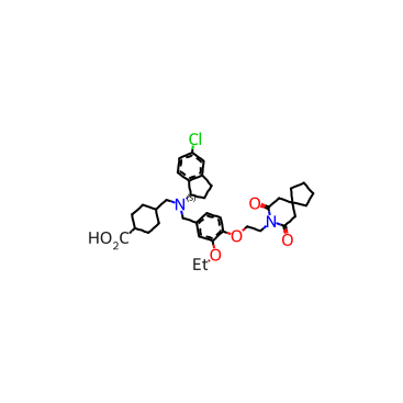 CCOc1cc(CN(CC2CCC(C(=O)O)CC2)[C@H]2CCc3cc(Cl)ccc32)ccc1OCCN1C(=O)CC2(CCCC2)CC1=O